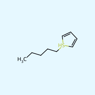 CCCCC[SH]1C=CC=C1